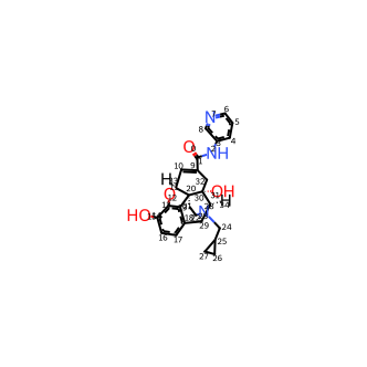 O=C(Nc1cccnc1)C1=C[C@@H]2Oc3c(O)ccc4c3[C@@]23CCN(CC2CC2)[C@H](C4)[C@]3(O)C1